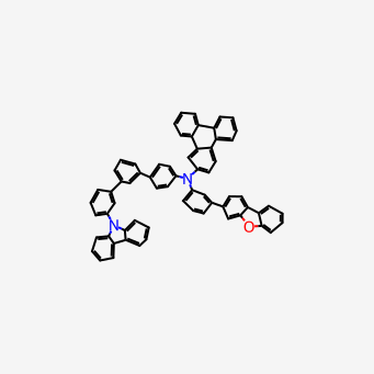 c1cc(-c2ccc(N(c3cccc(-c4ccc5c(c4)oc4ccccc45)c3)c3ccc4c5ccccc5c5ccccc5c4c3)cc2)cc(-c2cccc(-n3c4ccccc4c4ccccc43)c2)c1